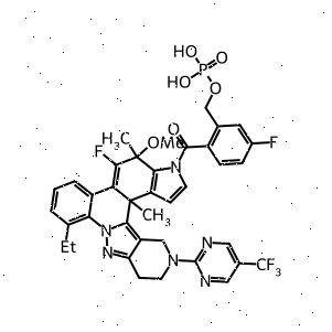 CCc1cccc2c1-n1nc3c(c1C1(C)C2=C(F)C(C)(OC)c2c1ccn2C(=O)c1ccc(F)cc1COP(=O)(O)O)CN(c1ncc(C(F)(F)F)cn1)CC3